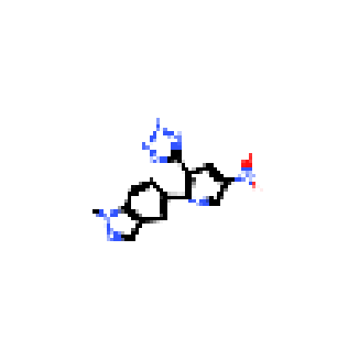 Cn1ncc2cc(-c3ncc([N+](=O)[O-])cc3-c3nn[nH]n3)ccc21